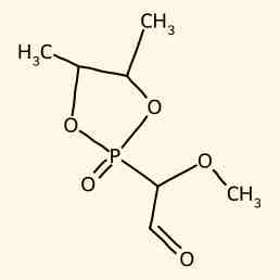 COC(C=O)P1(=O)OC(C)C(C)O1